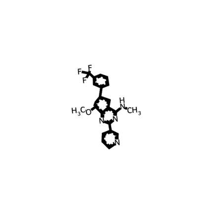 CNc1nc(-c2cccnc2)nc2c(OC)cc(-c3cccc(C(F)(F)F)c3)cc12